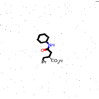 CC(C)C[C@H](CC(=O)NC1CCCCC1)C(=O)O